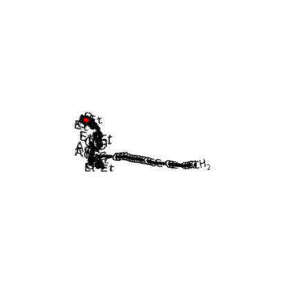 C=C=C=C=C=C=C=C=C=C=C=C=C=C=C=C=C=C=C=C=C=C=C=C=C=C=C=C=C=C=C=C=C=C=C=C(N(C(C)=O)C1CC(=O)N(c2c(CC)cc(CC)cc2CC)C1=O)N(C(C)=O)C1CC(=O)N(c2c(CC)cc(Cc3cc(CC)c(N4C(=O)C=CC4=O)c(CC)c3)cc2CC)C1=O